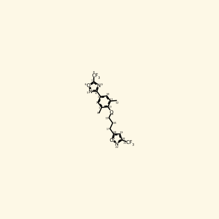 Cc1cc(-c2noc(C(F)(F)F)n2)cc(C)c1OCCCc1cc(C(F)(F)F)no1